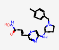 Cc1ccc(CN2CC[C@@H](Nc3cnc(C=CC(=O)NO)cn3)C2)cc1